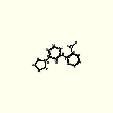 COc1ccccc1-c1nccc(N2CCCC2)n1